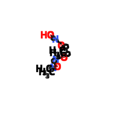 CCN(CC)C(=O)C1CCCN(CCCOc2cccc(-c3cccc(OCCCN4CCC(O)C4)c3C)c2C)C1